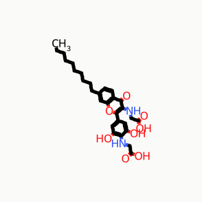 CCCCCCCCCCc1ccc2c(=O)c(NCC(=O)O)c(-c3cc(O)c(NCC(=O)O)c(O)c3)oc2c1